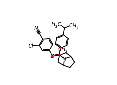 CC(C)c1ccc(C(=O)N2C3CCC2CC(C)(Oc2ccc(C#N)c(Cl)c2)C3)cc1